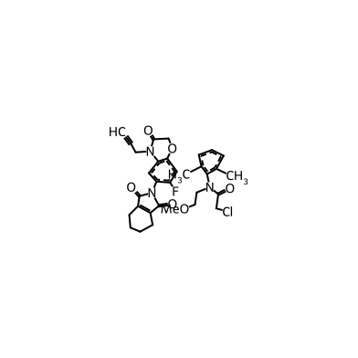 C#CCN1C(=O)COc2cc(F)c(N3C(=O)C4=C(CCCC4)C3=O)cc21.COCCN(C(=O)CCl)c1c(C)cccc1C